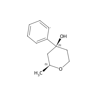 C[C@H]1C[C@](O)(c2[c]cccc2)CCO1